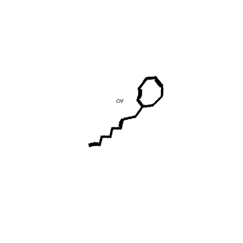 C=CCCCC=CCC1C=CCC=CCC1.[CH]